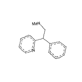 CNCC(c1ccccc1)c1ccccn1